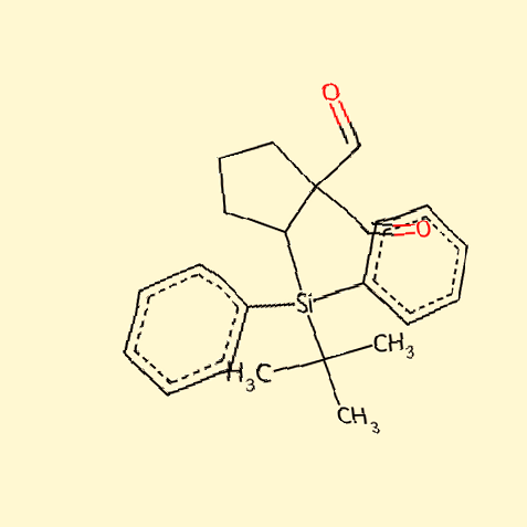 CC(C)(C)[Si](c1ccccc1)(c1ccccc1)C1CCCC1(C=O)C=O